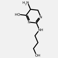 NC1CN=C(NCCCO)N=C1O